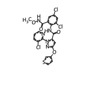 CONC(=O)c1cc(Cl)cc(Cl)c1NC(=O)c1cc(Oc2ccsc2)nn1-c1ncccc1Cl